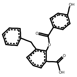 O=C(Oc1c(Cc2ccccc2)cccc1C(=O)O)c1ccc(O)cc1